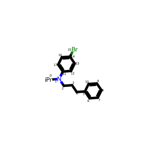 CC(C)N(CCCc1ccccc1)c1ccc(Br)cc1